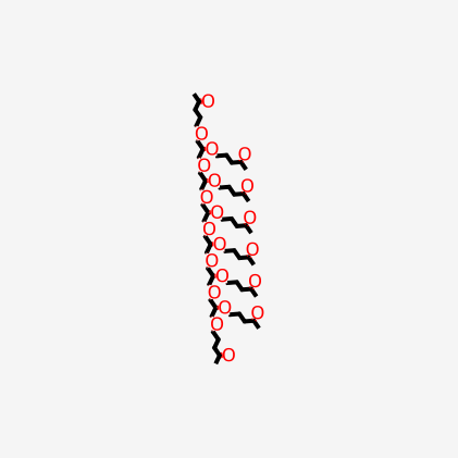 CC(=O)CCCOCC(COCC(COCC(COCC(COCC(COCC(COCCCC(C)=O)OCCCC(C)=O)OCCCC(C)=O)OCCCC(C)=O)OCCCC(C)=O)OCCCC(C)=O)OCCCC(C)=O